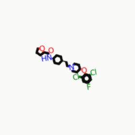 O=C(N[C@H]1CC[C@H](CCN2CCC(Oc3c(Cl)cc(F)cc3Cl)CC2)CC1)C1CCCO1